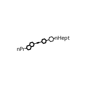 CCCCCCCC1CCC(c2ccc(C#Cc3ccc4cc(CCC)ccc4c3)cc2)CC1